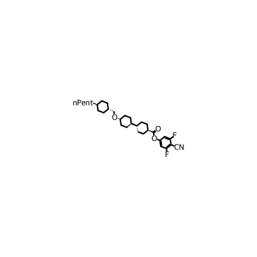 CCCCC[C@H]1CC[C@H](CO[C@H]2CC[C@H]([C@H]3CC[C@H](C(=O)Oc4cc(F)c(C#N)c(F)c4)CC3)CC2)CC1